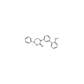 COc1ccccc1-c1cccc(N2CC[C@](C)(c3ccccc3)OC2=O)c1